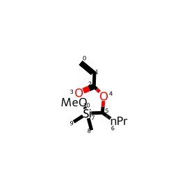 C=CC(=O)OC(CCC)[Si](C)(C)OC